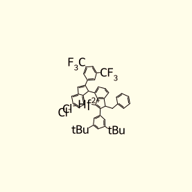 CC(C)(C)c1cc(C2=[C]([Hf+2])c3c(cccc3C3C(c4cc(C(F)(F)F)cc(C(F)(F)F)c4)=Cc4ccccc43)C2Cc2ccccc2)cc(C(C)(C)C)c1.[Cl-].[Cl-]